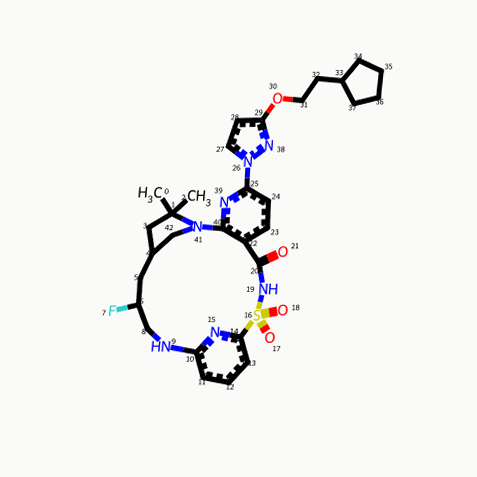 CC1(C)CC2CC(F)CNc3cccc(n3)S(=O)(=O)NC(=O)c3ccc(-n4ccc(OCCC5CCCC5)n4)nc3N1C2